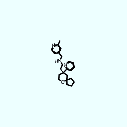 Cc1cc(CNCC[C@]2(c3ccccn3)CCOC3(CCCC3)C2)ccn1